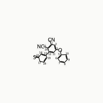 N#Cc1cc(Oc2ccccc2)cc(C2=CC(=S)CC=C2)c1C#N